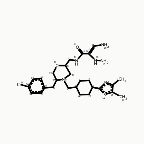 Cc1nc(C2CCC(CN3CC(CNC(=O)/C(=C/N)NN)OCC3Cc3ccc(Cl)cc3)CC2)sc1C